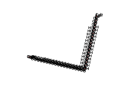 O=[Si](O)O.O=[Si](O)O.O=[Si](O)O.O=[Si](O)O.O=[Si](O)O.O=[Si](O)O.O=[Si](O)O.O=[Si](O)O.O=[Si](O)O.O=[Si](O)O.O=[Si](O)O.O=[Si](O)O.O=[Si](O)O.O=[Si](O)O.O=[Si](O)O.O=[Si](O)O.O=[Si](O)O.O=[Si](O)O.O=[Si](O)O.O=[Si](O)O.O=[Si](O)O.O=[Si](O)O.O=[Si](O)O.O=[Si](O)O.O=[Si](O)O.O=[Si](O)O.O=[Si](O)O.O=[Si](O)O.O=[Si](O)O.O=[Si]([O-])[O-].O=[Si]([O-])[O-].O=[Si]([O-])[O-].O=[Si]([O-])[O-].O=[Si]([O-])[O-].O=[Si]([O-])[O-].[Ca+2].[Ca+2].[Ca+2].[Ca+2].[Ca+2].[Ca+2]